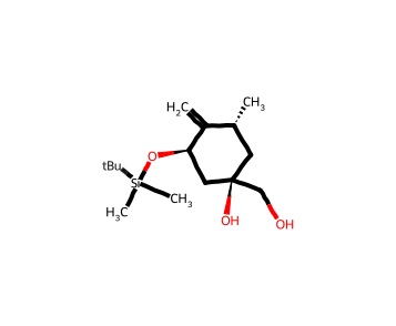 C=C1[C@H](C)C[C@](O)(CO)C[C@H]1O[Si](C)(C)C(C)(C)C